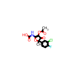 CC(=O)OC1=C(NC(=O)O)OC(C)(c2ccc(F)c(Cl)c2)C1=O